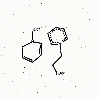 CCCCCCCCCCCC[n+]1ccccc1.CCCCCCCCN1C=CC=CC1